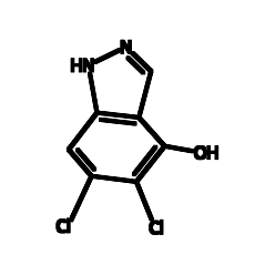 Oc1c(Cl)c(Cl)cc2[nH]ncc12